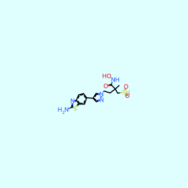 CC(CCn1cc(-c2ccc3nc(N)sc3c2)cn1)(C[SH](=O)=O)C(=O)NO